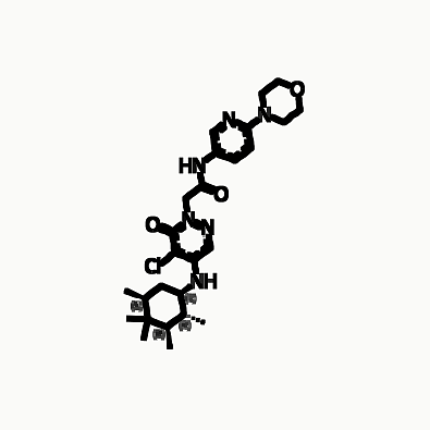 C[C@@H]1[C@@H](C)C(C)(C)[C@@H](C)C[C@H]1Nc1cnn(CC(=O)Nc2ccc(N3CCOCC3)nc2)c(=O)c1Cl